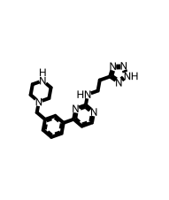 c1cc(CN2CCNCC2)cc(-c2ccnc(NCCc3nn[nH]n3)n2)c1